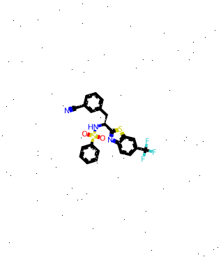 N#Cc1cccc(C[C@H](NS(=O)(=O)c2ccccc2)c2nc3ccc(C(F)(F)F)cc3s2)c1